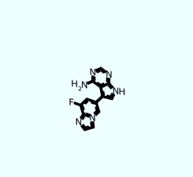 Nc1ncnc2[nH]cc(-c3cc(F)c4nccn4c3)c12